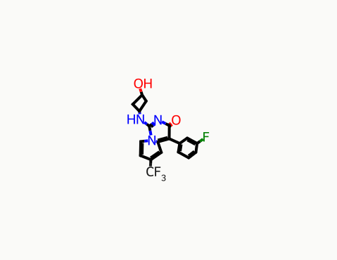 O=c1nc(NC2CC(O)C2)n2ccc(C(F)(F)F)cc2c1-c1cccc(F)c1